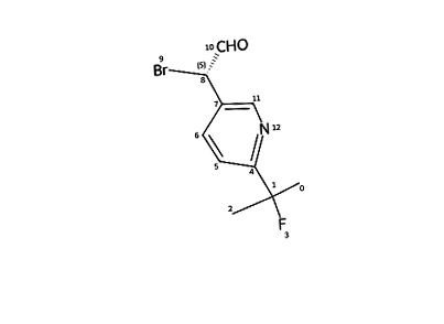 CC(C)(F)c1ccc([C@H](Br)C=O)cn1